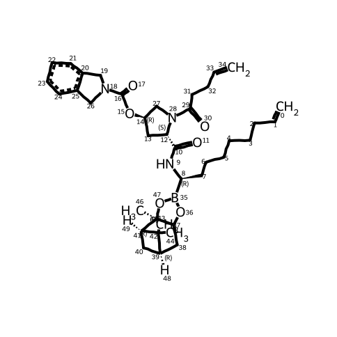 C=CCCCCCC[C@H](NC(=O)[C@@H]1C[C@@H](OC(=O)N2Cc3ccccc3C2)CN1C(=O)CCC=C)B1OC2C[C@H]3C[C@H](C3(C)C)[C@@]2(C)O1